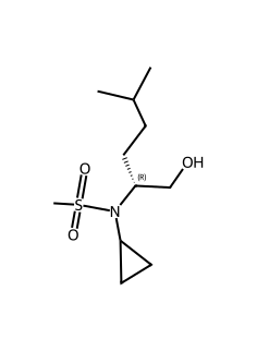 CC(C)CC[C@H](CO)N(C1CC1)S(C)(=O)=O